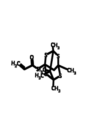 C=CC(=O)SC12CC3(C)SC(C)(S1)C(C)(C)C(C)(S3)S2